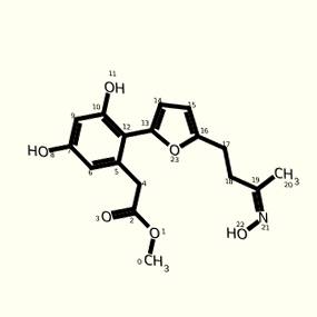 COC(=O)Cc1cc(O)cc(O)c1-c1ccc(CC/C(C)=N\O)o1